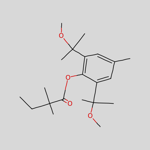 CCC(C)(C)C(=O)Oc1c(C(C)(C)OC)cc(C)cc1C(C)(C)OC